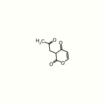 CC(=O)CC1C(=O)C=COC1=O